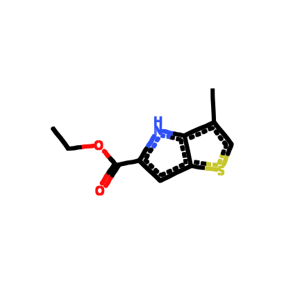 CCOC(=O)c1cc2scc(C)c2[nH]1